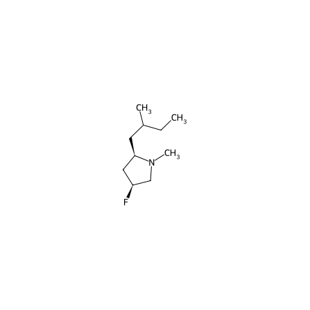 CCC(C)C[C@@H]1C[C@H](F)CN1C